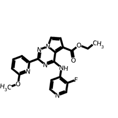 CCOC(=O)c1ccn2nc(-c3cccc(OC)n3)nc(Nc3ccncc3F)c12